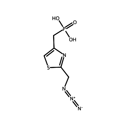 [N-]=[N+]=NCc1nc(CP(=O)(O)O)cs1